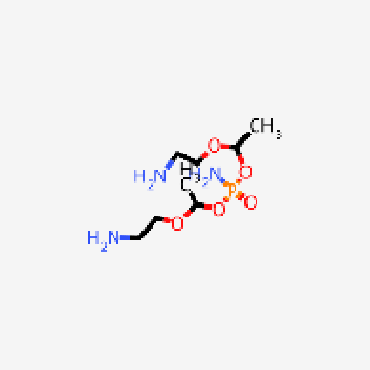 CC(OCCN)OP(N)(=O)OC(C)OCCN